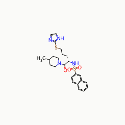 CC1CCN(C(=O)[C@H](CCCSc2ncc[nH]2)NS(=O)(=O)c2ccc3ccccc3c2)CC1